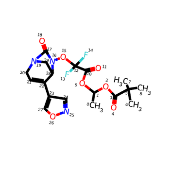 CC(OC(=O)C(C)(C)C)OC(=O)C(F)(F)ON1C(=O)N2CC=C(c3cnoc3)C1C2